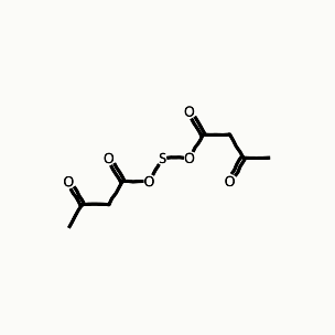 CC(=O)CC(=O)OSOC(=O)CC(C)=O